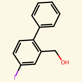 OCc1cc(I)ccc1-c1ccccc1